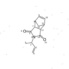 C=CC(C)N1C(=O)C2C3C=CC(C3)C2C1=O